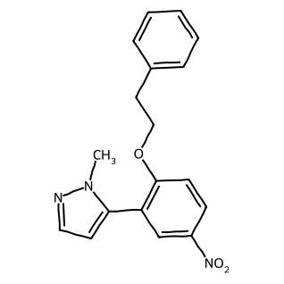 Cn1nccc1-c1cc([N+](=O)[O-])ccc1OCCc1ccccc1